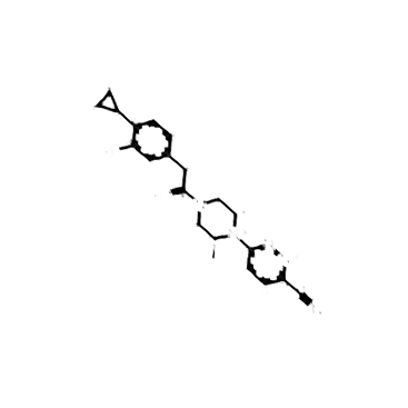 C[C@H]1CN(C(=O)Cc2ccc(C3CC3)c(F)c2)CCN1c1ccc(C#N)nn1